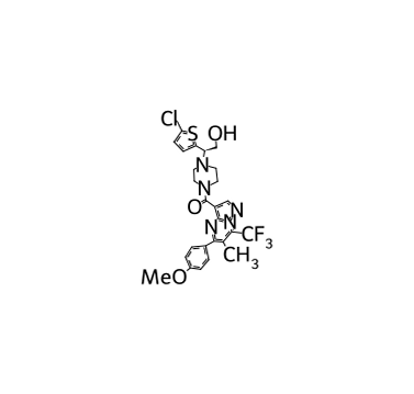 COc1ccc(-c2nc3c(C(=O)N4CCN([C@H](CO)c5ccc(Cl)s5)CC4)cnn3c(C(F)(F)F)c2C)cc1